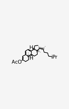 CC(=O)OC1=CC2=CC=C3[C@@H]4CC[C@H]([C@H](C)CCCC(C)C)[C@@]4(C)CC[C@@H]3[C@@]2(C)CC1